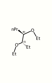 CCC[C@@H](OCC)[C@H](CC)OCC